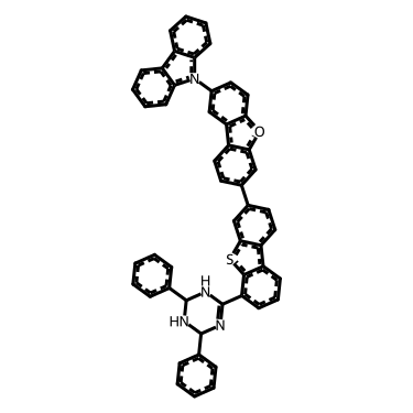 c1ccc(C2N=C(c3cccc4c3sc3cc(-c5ccc6c(c5)oc5ccc(-n7c8ccccc8c8ccccc87)cc56)ccc34)NC(c3ccccc3)N2)cc1